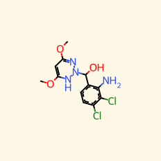 COC1=CC(OC)=NN(C(O)c2ccc(Cl)c(Cl)c2N)N1